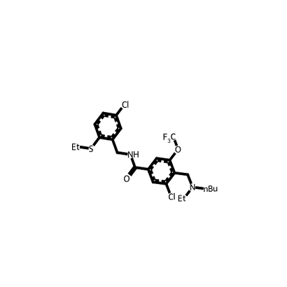 CCCCN(CC)Cc1c(Cl)cc(C(=O)NCc2cc(Cl)ccc2SCC)cc1OC(F)(F)F